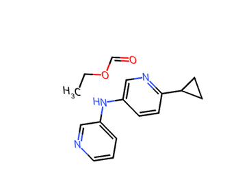 CCOC=O.c1cncc(Nc2ccc(C3CC3)nc2)c1